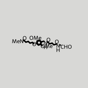 CNC(=O)CCCCOc1cc(OC)c(CNC(=O)CCCC(=O)NCC=O)c(OC)c1